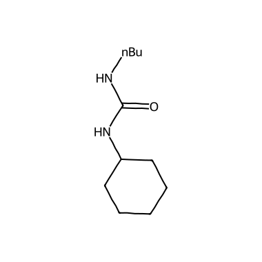 CCCCNC(=O)NC1CCCCC1